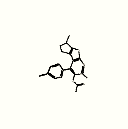 CC(=O)Oc1c(C)nc2sc3c(c2c1-c1ccc(C)cc1)CCC3C